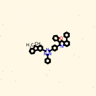 CC1(C)c2ccccc2-c2cc(-c3nc(-c4ccccc4)nc(-c4ccc(-c5nc6cccc(-c7ccccc7)c6c6oc7ccccc7c56)cc4)n3)ccc21